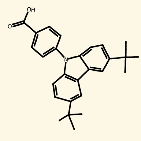 CC(C)(C)c1ccc2c(c1)c1cc(C(C)(C)C)ccc1n2-c1ccc(C(=O)O)cc1